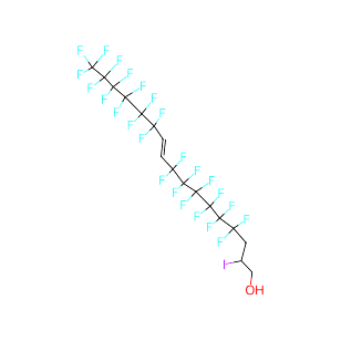 OCC(I)CC(F)(F)C(F)(F)C(F)(F)C(F)(F)C(F)(F)C(F)(F)/C=C/C(F)(F)C(F)(F)C(F)(F)C(F)(F)C(F)(F)C(F)(F)F